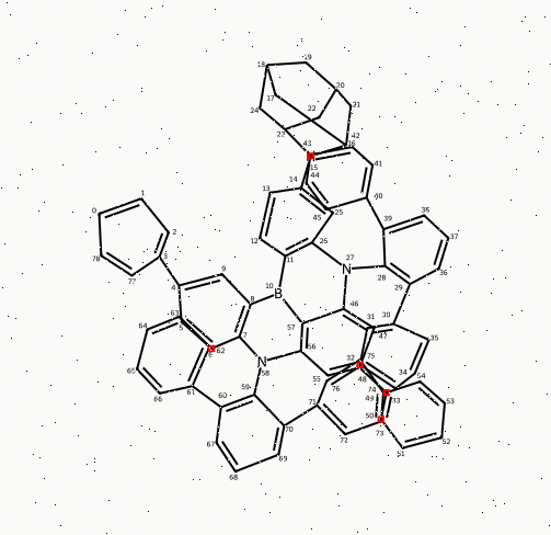 c1ccc(-c2ccc3c(c2)B2c4ccc(N5C6CC7CC(C6)CC5C7)cc4N(c4c(-c5ccccc5)cccc4-c4ccccc4)c4cc(-c5ccccc5)cc(c42)N3c2c(-c3ccccc3)cccc2-c2ccccc2)cc1